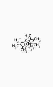 CC1=C(C)C(C)(C)[C]([Zr][c]2c(C)c(C)c(C)n2C)=C1C